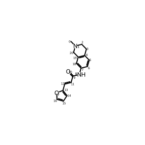 CN1CCc2ccc(NC(=O)C=Cc3ccco3)cc2C1